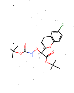 CC(C)(C)OC(=O)NO[C@](C)(C(=O)OC(C)(C)C)[C@H]1CCc2cc(Cl)ccc2O1